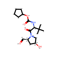 CC(C)(C)[C@H](NC(=O)OC1CCCC1)C(=O)N1C[C@@H](O)C[C@H]1C=O